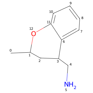 CC1CC(CN)c2ccccc2O1